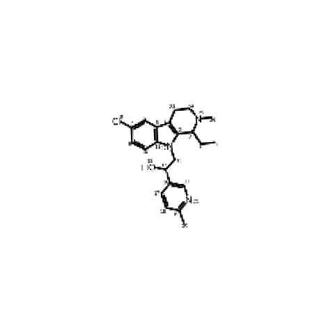 CCC1c2c(c3cc(Cl)ccc3n2CC(O)c2ccc(C)nc2)CCN1C